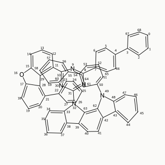 c1ccc(-c2ccc(-c3nc(-c4cccc5oc6cccc(-c7ccccc7)c6c45)nc(-n4c5ccccc5c5ccc6c7ccccc7n(-c7cccc(-c8ccccc8)c7)c6c54)n3)cc2)cc1